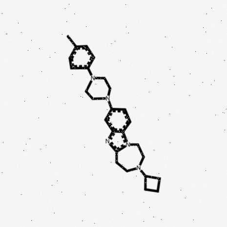 Cc1ccc(N2CCN(c3ccc4c(c3)nc3n4CCN(C4CCC4)CC3)CC2)cc1